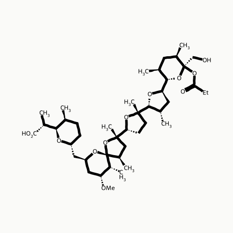 CCC(=O)O[C@@]1(CO)O[C@H]([C@H]2C[C@H](C)[C@H]([C@]3(C)CC[C@H]([C@]4(C)C[C@@H](C)[C@@]5(O[C@H](C[C@H]6CC[C@H](C)[C@H]([C@@H](C)C(=O)O)O6)C[C@@H](OC)[C@H]5C)O4)O3)O2)[C@@H](C)C[C@H]1C